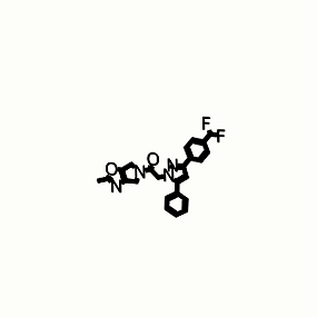 Cc1nc2c(o1)CN(C(=O)Cn1nc(-c3ccc(C(F)F)cc3)cc1-c1ccccc1)C2